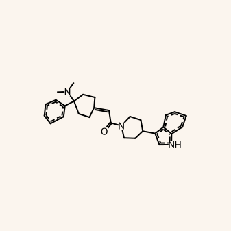 CN(C)C1(c2ccccc2)CCC(=CC(=O)N2CCC(c3c[nH]c4ccccc34)CC2)CC1